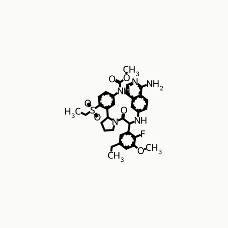 CCc1cc(OC)c(F)c(C(Nc2ccc3c(N)nccc3c2)C(=O)N2CCCC2c2cc(NC(=O)OC)ccc2S(=O)(=O)CC)c1